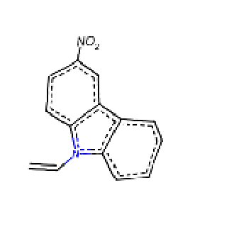 C=Cn1c2ccccc2c2cc([N+](=O)[O-])ccc21